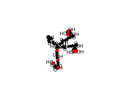 CC(C)(C)C1CC(=O)N(CCC(=O)NC(COCCC(=O)NCCCCC(C(=O)O)N(CC(=O)O)CC(=O)O)(COCCC(=O)NCCCCC(C(=O)O)N(CC(=O)O)CC(=O)O)COCCC(=O)NCCCCC(C(=O)O)N(CC(=O)O)CC(=O)O)C1=O